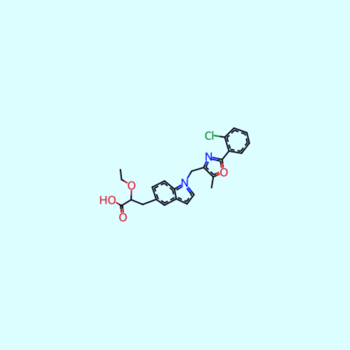 CCOC(Cc1ccc2c(ccn2Cc2nc(-c3ccccc3Cl)oc2C)c1)C(=O)O